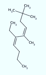 CCC/C=C(CC)\C(C)=C/CC(C)(C)C